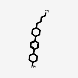 CCCC1CCC(c2ccc(C3CCC(CCCCC#N)CC3)cc2)CC1